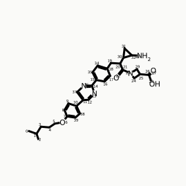 CC(C)CCCOc1ccc(-c2cnc(-c3ccc(CC(C(=O)N4CC(C(=O)O)C4)C4CC4N)cc3)nc2)cc1